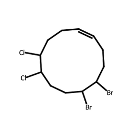 ClC1CC/C=C\CCC(Br)C(Br)CCC1Cl